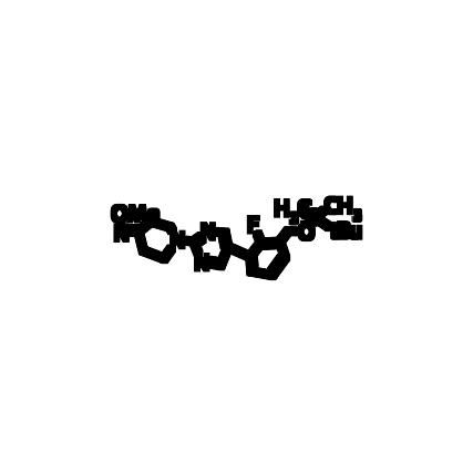 CON=C1CCN(c2ncc(-c3cccc(CO[Si](C)(C)C(C)(C)C)c3F)cn2)CC1